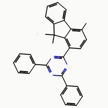 Cc1ccc(-c2nc(-c3ccccc3)nc(-c3ccccc3)n2)c2c1-c1ccccc1C2(C)C